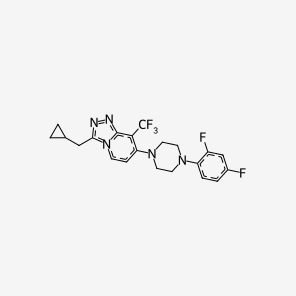 Fc1ccc(N2CCN(c3ccn4c(CC5CC5)nnc4c3C(F)(F)F)CC2)c(F)c1